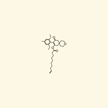 C=CCCCCCCCC(=O)OC1=C(c2c(CC)cc(C)cc2CC)C(=O)CC2(CCOCC2)C1